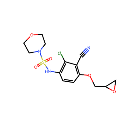 N#Cc1c(OCC2CO2)ccc(NS(=O)(=O)N2CCOCC2)c1Cl